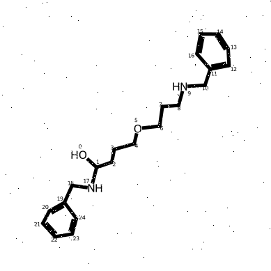 OC(CCCOCCCNCc1ccccc1)NCc1ccccc1